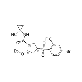 CCO[C@H]1C[C@H](S(=O)(=O)c2ccc(Br)cc2C(F)(F)F)C[C@@H]1C(=O)NC1(C#N)CC1